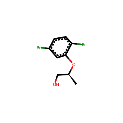 C[C@@H](CO)Oc1cc(Br)ccc1Br